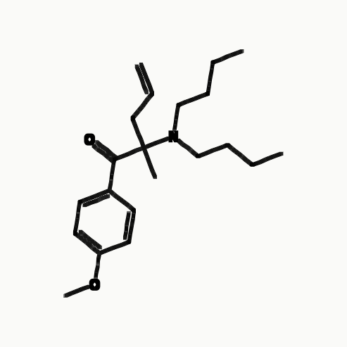 C=CCC(C)(C(=O)c1ccc(OC)cc1)N(CCCC)CCCC